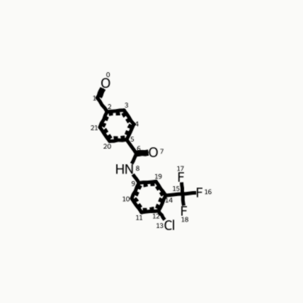 O=Cc1ccc(C(=O)Nc2ccc(Cl)c(C(F)(F)F)c2)cc1